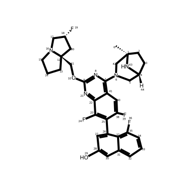 C[C@@]12CC[C@H](CN(c3nc(OC[C@@]45CCCN4C[C@H](F)C5)nc4c(F)c(-c5cc(O)cc6cccc(F)c56)c(F)cc34)C1)N2